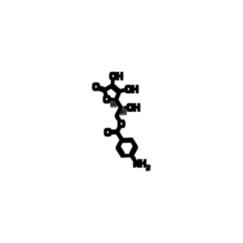 Nc1ccc(C(=O)OC[C@@H](O)[C@H]2OC(=O)C(O)=C2O)cc1